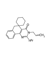 C=CCn1c(CCC)nc2c(c1=O)C1(CCCCC1)Cc1ccccc1-2